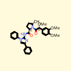 COc1ccc([C@@H](OC)C(=O)N2[C@@H](C(=O)Nc3nc(-c4ccccc4)cn3-c3ccccc3)CC[C@@H]2C)cc1OC